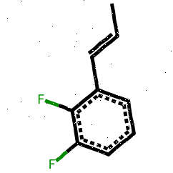 CC=Cc1cccc(F)c1F